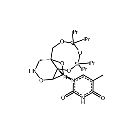 Cc1cn([C@@H]2O[C@@]34CNOC2[C@H]3O[Si](C(C)C)(C(C)C)O[Si](C(C)C)(C(C)C)OC4)c(=O)[nH]c1=O